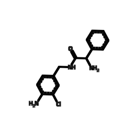 Nc1ccc(CNC(=O)C(N)c2ccccc2)cc1Cl